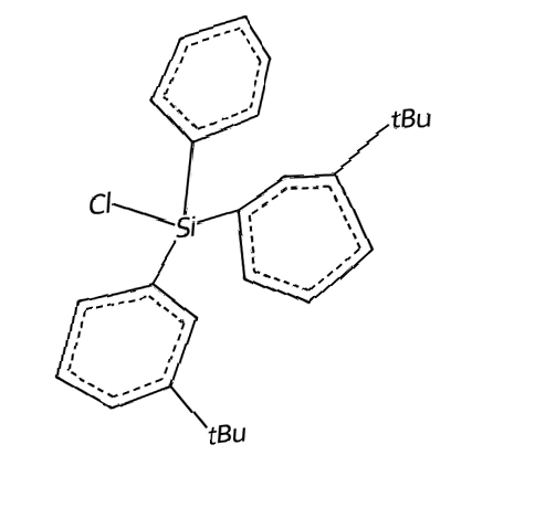 CC(C)(C)c1cccc([Si](Cl)(c2ccccc2)c2cccc(C(C)(C)C)c2)c1